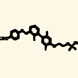 Cc1cc(-c2cccc(COc3ccc(C=O)cc3)c2C)c(C)cc1OCCO[Si](C)(C)C(C)(C)C